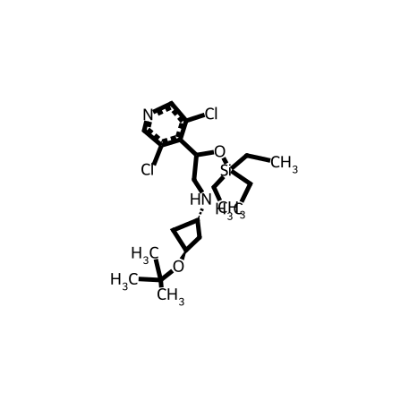 CC[Si](CC)(CC)OC(CN[C@H]1C[C@H](OC(C)(C)C)C1)c1c(Cl)cncc1Cl